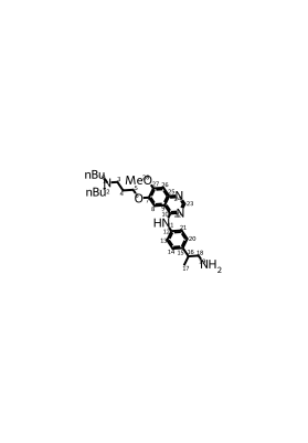 CCCCN(CCCC)CCCOc1cc2c(Nc3ccc(C(C)CN)cc3)ncnc2cc1OC